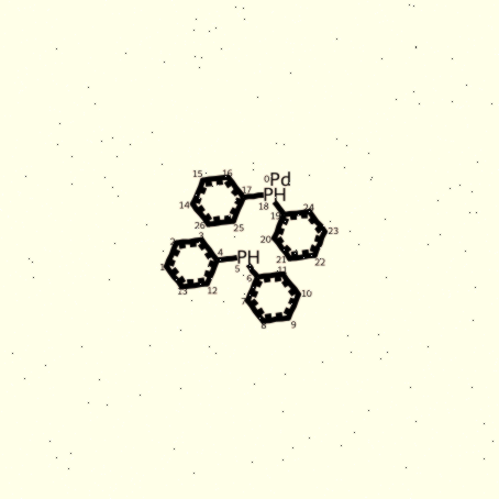 [Pd].c1ccc(Pc2ccccc2)cc1.c1ccc(Pc2ccccc2)cc1